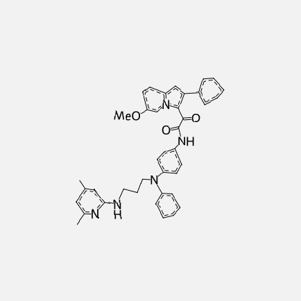 COc1ccc2cc(-c3ccccc3)c(C(=O)C(=O)Nc3ccc(N(CCCNc4cc(C)cc(C)n4)c4ccccc4)cc3)n2c1